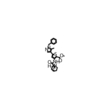 COC(=O)c1sc(-c2cnn(Cc3ccccc3)c2C)cc1NC(=O)[C@@H]1CC2CCN1CC2